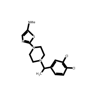 CNc1cnc(N2CCN(C(C)c3ccc(Cl)c(Cl)c3)CC2)s1